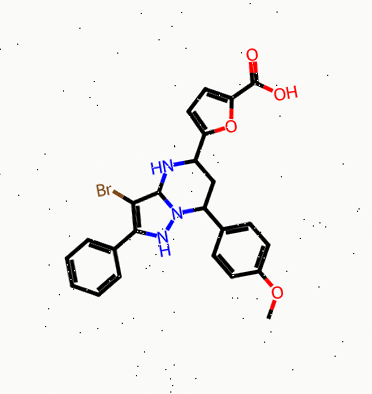 COc1ccc(C2CC(c3ccc(C(=O)O)o3)NC3C(Br)=C(c4ccccc4)NN32)cc1